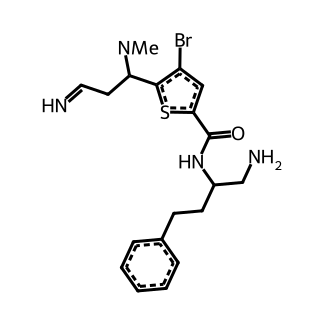 CNC(CC=N)c1sc(C(=O)NC(CN)CCc2ccccc2)cc1Br